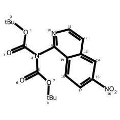 CC(C)(C)OC(=O)N(C(=O)OC(C)(C)C)c1nccc2cc([N+](=O)[O-])ccc12